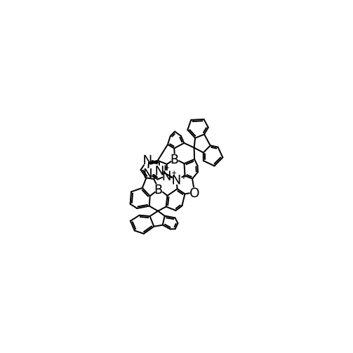 c1ccc2c(c1)-c1ccccc1C21c2cccc3c2B2c4c1ccc1c4[N+]4(c5c(ccc6c5B5c7c(cccc7C67c6ccccc6-c6ccccc67)-c6cnc[n+]4c65)O1)[n+]1cncc-3c12